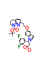 COC(=O)CC(c1cc(F)cc(F)c1)n1ccc2cc(OCCc3ccc4c(n3)N(C(=O)OC(C)(C)C)CCC4)ccc21